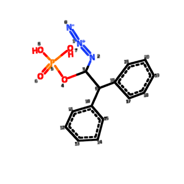 [N-]=[N+]=NC(OP(=O)(O)O)C(c1ccccc1)c1ccccc1